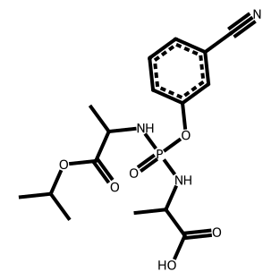 CC(C)OC(=O)C(C)NP(=O)(NC(C)C(=O)O)Oc1cccc(C#N)c1